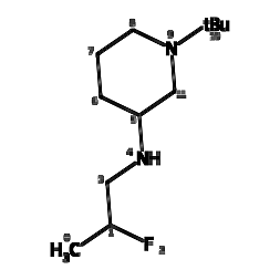 CC(F)CNC1CCCN(C(C)(C)C)C1